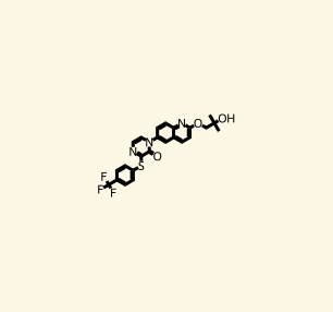 CC(C)(O)COc1ccc2cc(-n3ccnc(Sc4ccc(C(F)(F)F)cc4)c3=O)ccc2n1